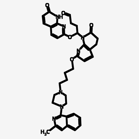 Cc1cc2ccccc2c(N2CCN(CCCCOc3ccc4c(n3)N(C(CCC=O)Oc3ccc5ccc(=O)[nH]c5n3)C(=O)CC4)CC2)n1